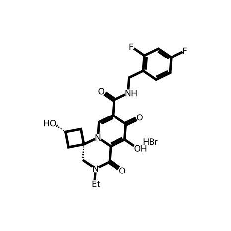 Br.CCN1C[C@]2(C[C@@H](O)C2)n2cc(C(=O)NCc3ccc(F)cc3F)c(=O)c(O)c2C1=O